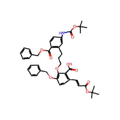 CC(C)(C)OC(=O)C=Cc1ccc(OCc2ccccc2)c(OCCCc2cc(NC(=O)OC(C)(C)C)ccc2C(=O)OCc2ccccc2)c1C(=O)O